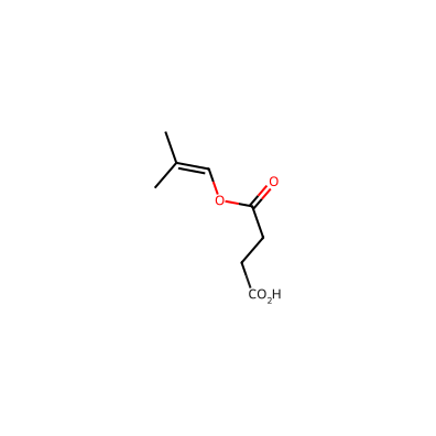 CC(C)=COC(=O)CCC(=O)O